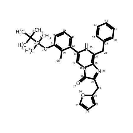 CC(C)(C)[Si](C)(C)Oc1cccc(-c2cn3c(=O)c(Cc4ccco4)nc-3c(Cc3ccccc3)[nH]2)c1F